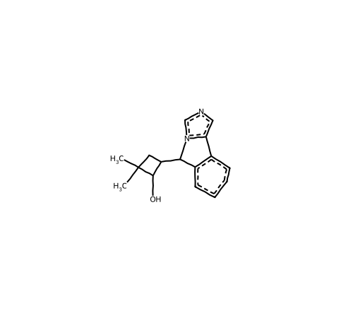 CC1(C)CC(C2c3ccccc3-c3cncn32)C1O